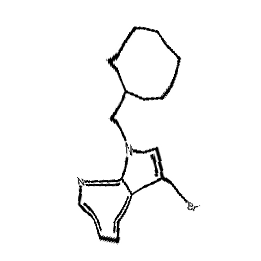 Brc1cn(CC2CCCCC2)c2ncccc12